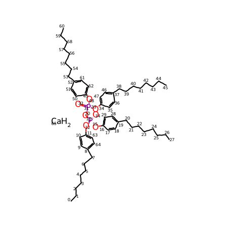 CCCCCCCCc1ccc(OP(=O)(Oc2ccc(CCCCCCCC)cc2)OP(=O)(Oc2ccc(CCCCCCCC)cc2)Oc2ccc(CCCCCCCC)cc2)cc1.[CaH2]